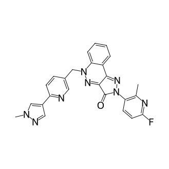 Cc1nc(F)ccc1-n1nc2c3ccccc3n(Cc3ccc(-c4cnn(C)c4)nc3)nc-2c1=O